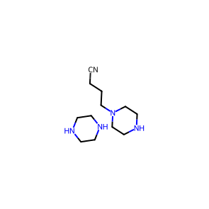 C1CNCCN1.N#CCCCN1CCNCC1